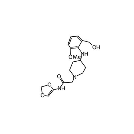 COc1cccc(CO)c1NC1CCN(CC(=O)NC2=COCO2)CC1